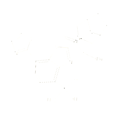 CC(C)(C)OC(=O)N1C2CCC1CN(c1nc3c(C(C)(O)C(F)(F)F)ccc(-c4nccs4)c3o1)C2